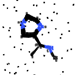 CCN[C@H](C)c1cnccn1